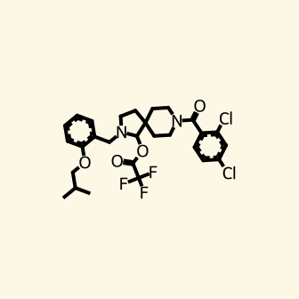 CC(C)COc1ccccc1CN1CCC2(CCN(C(=O)c3ccc(Cl)cc3Cl)CC2)C1OC(=O)C(F)(F)F